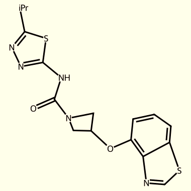 CC(C)c1nnc(NC(=O)N2CC(Oc3cccc4scnc34)C2)s1